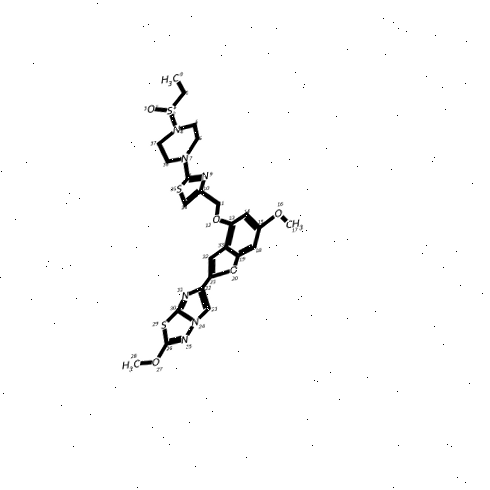 CC[S+]([O-])N1CCN(c2nc(COc3cc(OC)cc4oc(-c5cn6nc(OC)sc6n5)cc34)cs2)CC1